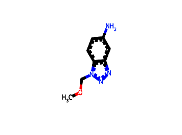 COCn1nnc2cc(N)ccc21